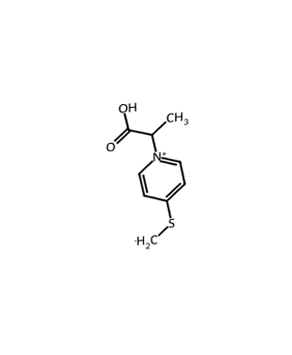 [CH2]Sc1cc[n+](C(C)C(=O)O)cc1